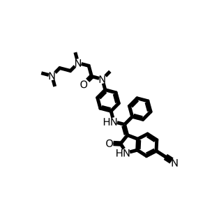 CN(C)CCN(C)CC(=O)N(C)c1ccc(N/C(=C2\C(=O)Nc3cc(C#N)ccc32)c2ccccc2)cc1